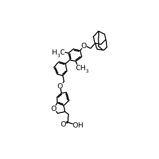 Cc1cc(OCC23CC4CC(CC(C4)C2)C3)cc(C)c1-c1cccc(COc2ccc3c(c2)OCC3CC(=O)O)c1